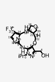 CC(C)n1nc(CO)c2c1Nc1ncc(C(F)(F)F)c(n1)N[C@@H]1COC[C@H]1CO2